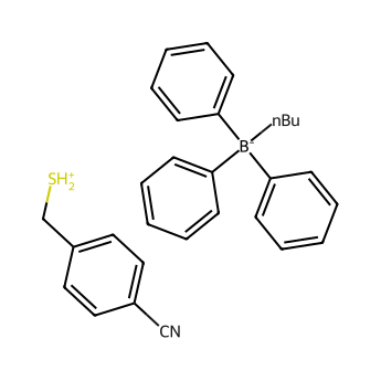 CCCC[B-](c1ccccc1)(c1ccccc1)c1ccccc1.N#Cc1ccc(C[SH2+])cc1